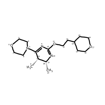 C[C@@H]1C(N2CCOCC2)=NC(OCCC2CCOCC2)=N[C@@H]1C